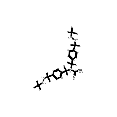 CC(C)(C)OOC(C)(C)c1ccc(C(C)(C)N(C(N)=O)C(C)(C)c2ccc(C(C)(C)OOC(C)(C)C)cc2)cc1